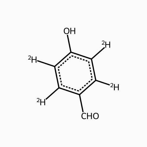 [2H]c1c([2H])c(C=O)c([2H])c([2H])c1O